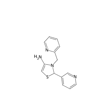 NC1=CSC(c2cccnc2)N1Cc1ccccn1